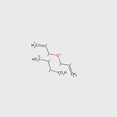 C=CCOCC=C.O=C(O)CCC(=O)O